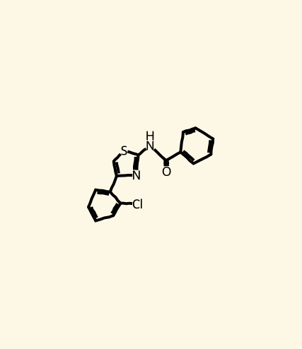 O=C(Nc1nc(-c2ccccc2Cl)cs1)c1ccccc1